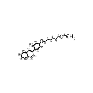 C=COCCCCCCOc1ccc(C2=Cc3ccccc3CC2)c(F)c1